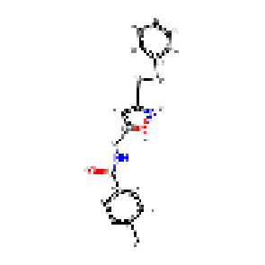 Cc1ccc(C(=O)NCc2cc(CCc3ccccc3)no2)cc1